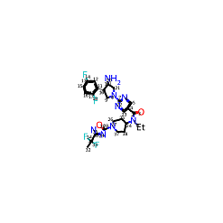 CCN(C(=O)c1cnc(N2C[C@H](c3cc(F)ccc3F)[C@@H](N)C2)nc1)C1CCN(c2nc(C(C)(F)F)no2)CC1